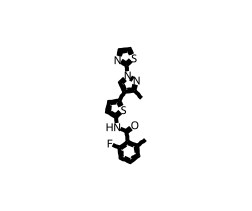 Cc1cccc(F)c1C(=O)Nc1ccc(-c2cn(-c3nccs3)nc2C)s1